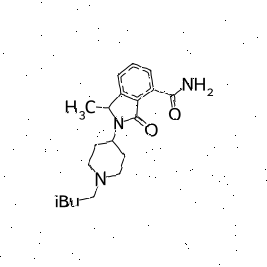 CCC(C)CN1CCC(N2C(=O)c3c(C(N)=O)cccc3C2C)CC1